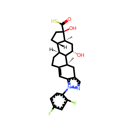 C[C@]12Cc3cnn(-c4ccc(F)cc4F)c3C=C1CC[C@@H]1C2[C@@H](O)C[C@@]2(C)[C@H]1CC[C@]2(O)C(=O)S